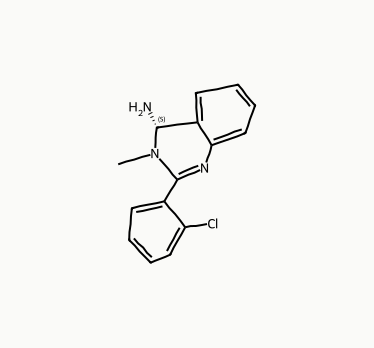 CN1C(c2ccccc2Cl)=Nc2ccccc2[C@H]1N